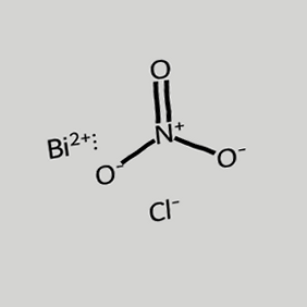 O=[N+]([O-])[O-].[Bi+2].[Cl-]